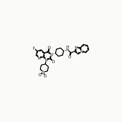 O=C(N[C@H]1CC[C@@H](n2c(=O)c3cc(F)cnc3n(C3CCS(=O)(=O)CC3)c2=O)CC1)c1cn2ccccc2n1